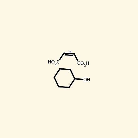 O=C(O)/C=C\C(=O)O.OC1CCCCC1